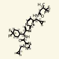 CC(CC(=O)N[C@@H](c1ccn2cc([C@@H](NC(=O)c3ncnn3CC3CC3)C3CCC(F)(F)CC3)nc2n1)C1CC1)C(F)(F)F